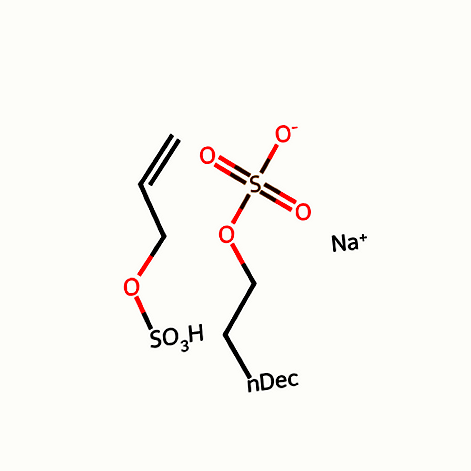 C=CCOS(=O)(=O)O.CCCCCCCCCCCCOS(=O)(=O)[O-].[Na+]